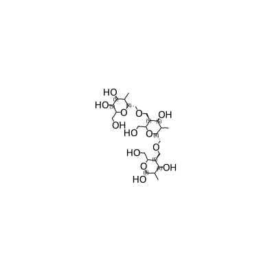 CC1[C@H](COC[C@@H]2C(CO)O[C@@H](COC[C@@H]3C(CO)O[C@@H](O)C(C)[C@@H]3O)C(C)[C@@H]2O)OC(CO)[C@@H](O)[C@H]1O